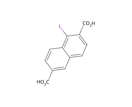 O=C(O)c1ccc2c(I)c(C(=O)O)ccc2c1